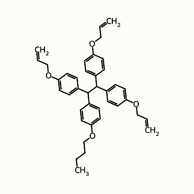 C=CCOc1ccc(C(c2ccc(OCC=C)cc2)C(c2ccc(OCC=C)cc2)c2ccc(OCCCC)cc2)cc1